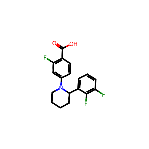 O=C(O)c1ccc(N2CCCCC2c2cccc(F)c2F)cc1F